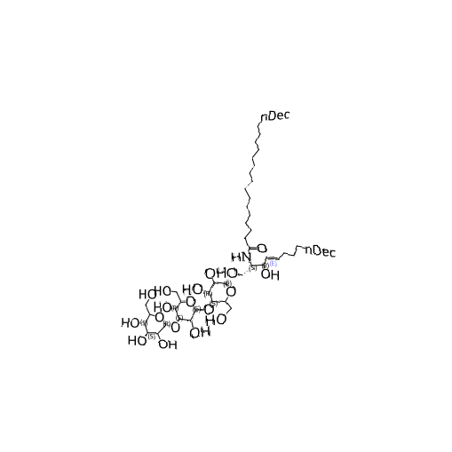 CCCCCCCCCCCCC/C=C/[C@@H](O)[C@H](CO[C@@H]1OC(CO)[C@@H](O[C@@H]2OC(CO)[C@@H](O)[C@H](O[C@H]3OC(CO)[C@@H](O)[C@H](O)C3O)C2O)[C@H](O)C1O)NC(=O)CCCCCCCCCCCCCCCCCCCCCCCCC